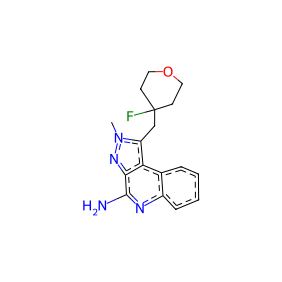 Cn1nc2c(N)nc3ccccc3c2c1CC1(F)CCOCC1